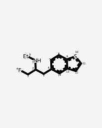 CCNC(CF)Cc1ccc2sccc2c1